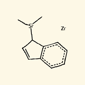 C[Si](C)C1C=Cc2ccccc21.[Zr]